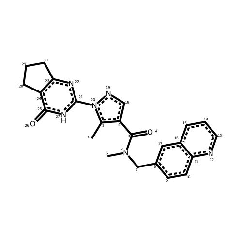 Cc1c(C(=O)N(C)Cc2ccc3ncccc3c2)cnn1-c1nc2c(c(=O)[nH]1)CCC2